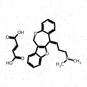 CN(C)CCC=C1c2ccccc2OCc2c1oc1ccccc21.O=C(O)/C=C/C(=O)O